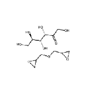 C(OCC1CO1)C1CO1.O=C(CO)[C@@H](O)[C@H](O)[C@H](O)CO